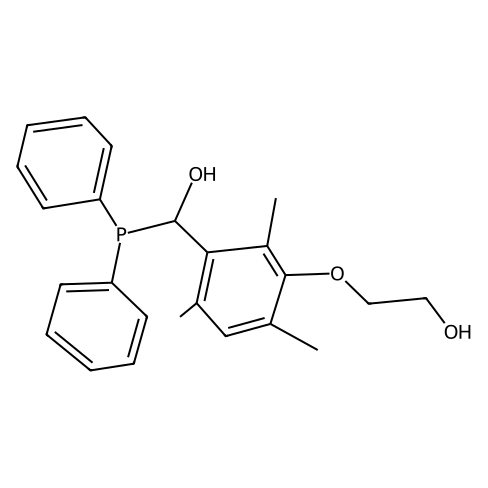 Cc1cc(C)c(C(O)P(c2ccccc2)c2ccccc2)c(C)c1OCCO